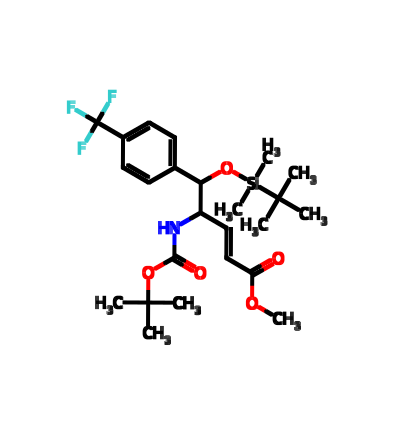 COC(=O)C=CC(NC(=O)OC(C)(C)C)C(O[Si](C)(C)C(C)(C)C)c1ccc(C(F)(F)F)cc1